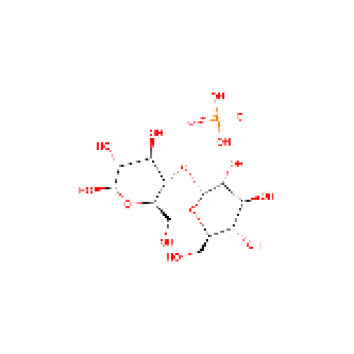 O=P(O)(O)O.OC[C@H]1O[C@H](O[C@H]2[C@H](O)[C@@H](O)[C@H](O)O[C@@H]2CO)[C@H](O)[C@@H](O)[C@@H]1O